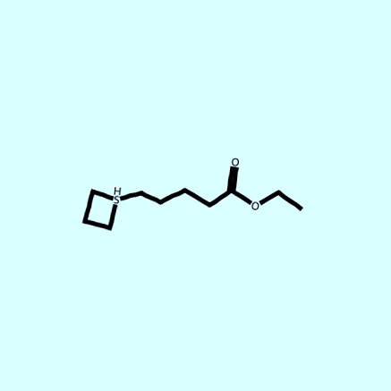 CCOC(=O)CCCC[SH]1CCC1